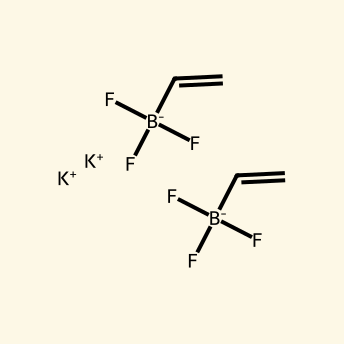 C=C[B-](F)(F)F.C=C[B-](F)(F)F.[K+].[K+]